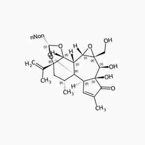 C=C(C)[C@]12C[C@@H](C)[C@@]34O[C@](CCCCCCCCC)(O[C@@H]1[C@@H]3[C@@H]1O[C@]1(CO)[C@@H](O)[C@]1(O)C(=O)C(C)=C[C@H]14)O2